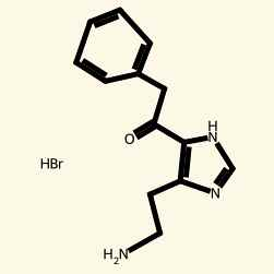 Br.NCCc1nc[nH]c1C(=O)Cc1ccccc1